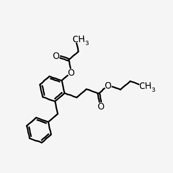 CCCOC(=O)CCc1c(Cc2ccccc2)cccc1OC(=O)CC